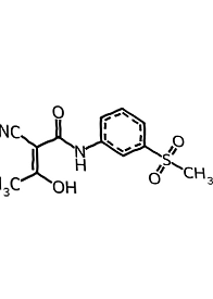 CC(O)=C(C#N)C(=O)Nc1cccc(S(C)(=O)=O)c1